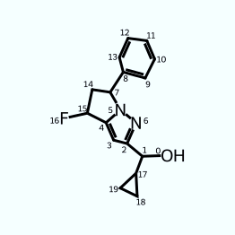 OC(c1cc2n(n1)C(c1ccccc1)CC2F)C1CC1